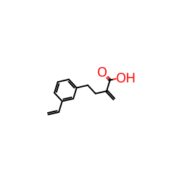 C=Cc1cccc(CCC(=C)C(=O)O)c1